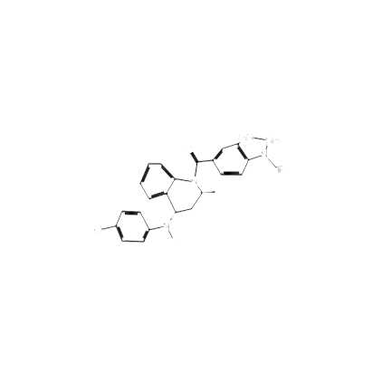 CC(=O)N(c1ccc(Cl)cc1)[C@@H]1C[C@H](C)N(C(=O)c2ccc3c(c2)NNN3C(C)C)c2ccccc21